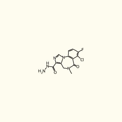 CN1Cc2c(C(=O)NN)ncn2-c2ccc(F)c(Cl)c2C1=O